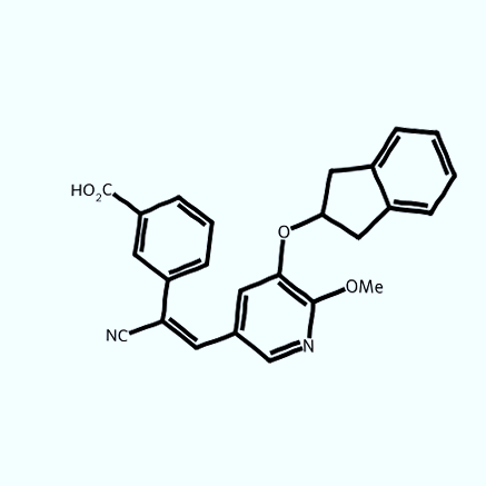 COc1ncc(C=C(C#N)c2cccc(C(=O)O)c2)cc1OC1Cc2ccccc2C1